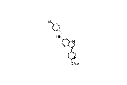 CCc1ccc(CNc2ccc3c(c2)ncn3-c2ccc(OC)nc2)cc1